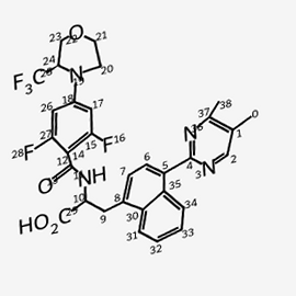 Cc1cnc(-c2ccc(CC(NC(=O)c3c(F)cc(N4CCOC[C@@H]4C(F)(F)F)cc3F)C(=O)O)c3ccccc23)nc1C